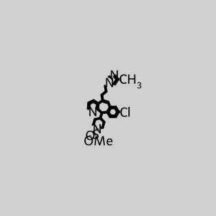 COOSN1CCC(C2c3ccc(Cl)cc3C=C(CCCn3cnc(C)c3)c3cccnc32)CC1